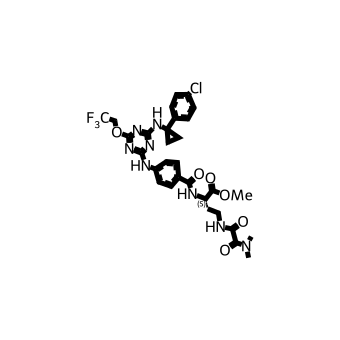 COC(=O)[C@H](CCNC(=O)C(=O)N(C)C)NC(=O)c1ccc(Nc2nc(NC3(c4ccc(Cl)cc4)CC3)nc(OCC(F)(F)F)n2)cc1